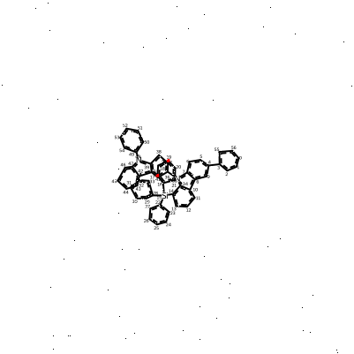 c1ccc(-c2ccc3c(c2)c2cccc([Si](c4ccccc4)(c4ccccc4)c4ccccc4)c2n3-c2ccc3c(c2)c2ccccc2n3-c2ccccc2)cc1